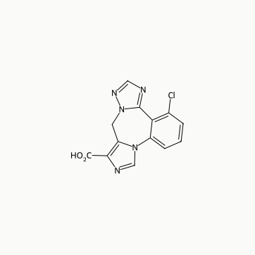 O=C(O)c1ncn2c1Cn1ncnc1-c1c(Cl)cccc1-2